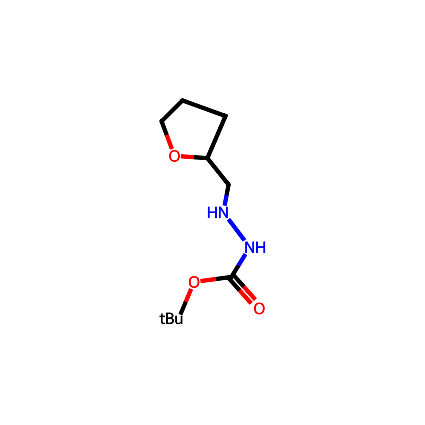 CC(C)(C)OC(=O)NNCC1CCCO1